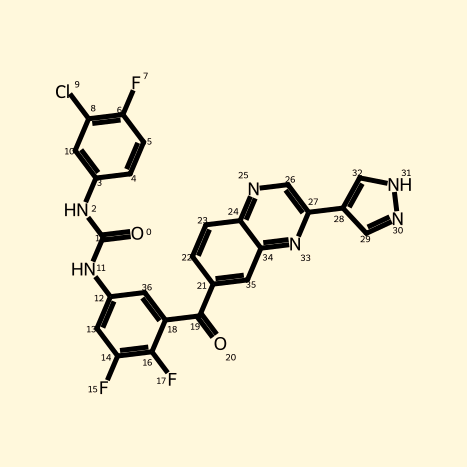 O=C(Nc1ccc(F)c(Cl)c1)Nc1cc(F)c(F)c(C(=O)c2ccc3ncc(-c4cn[nH]c4)nc3c2)c1